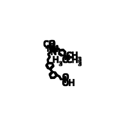 CCn1c(CCCc2ccc(-c3cccc(CCC(=O)O)c3)cc2)nn(Cc2ccc(C(C)(C)C)cc2)c1=O